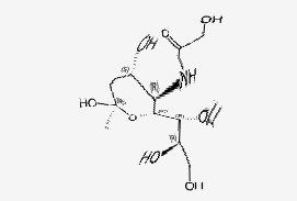 C[C@]1(O)C[C@H](O)[C@@H](NC(=O)CO)[C@H]([C@H](O)[C@H](O)CO)O1